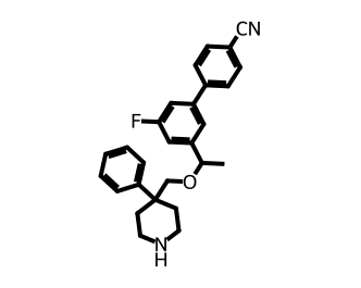 CC(OCC1(c2ccccc2)CCNCC1)c1cc(F)cc(-c2ccc(C#N)cc2)c1